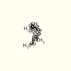 CCOC(=O)C1CN([C@H]2CCc3cc(-c4cccc(-c5c(F)ccc(NC(=O)c6cn(C)c(=O)n(C)c6=O)c5C)c4Cl)nc(OC)c32)C1